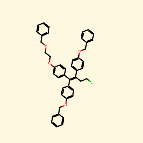 ClCCC(=C(c1ccc(OCCOCc2ccccc2)cc1)c1ccc(OCc2ccccc2)cc1)c1ccc(OCc2ccccc2)cc1